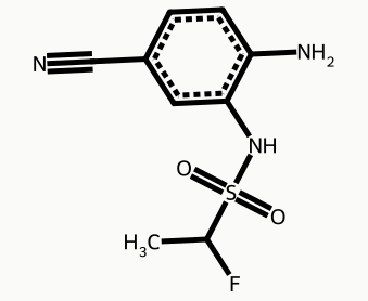 CC(F)S(=O)(=O)Nc1cc(C#N)ccc1N